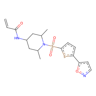 C=CC(=O)NC1CC(C)N(S(=O)(=O)c2ccc(-c3ccno3)s2)C(C)C1